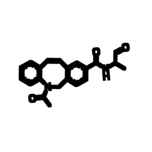 CC(=O)N1Cc2ccc(C(=O)NC(C)C=O)cc2/C=C\c2ccccc21